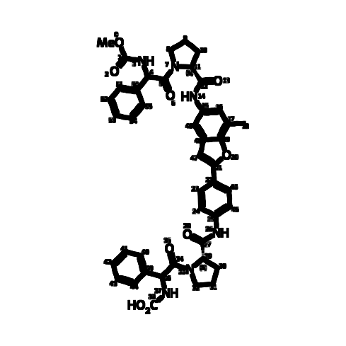 COC(=O)NC(C(=O)N1CCC[C@H]1C(=O)Nc1cc(C)c2oc(-c3ccc(NC(=O)[C@@H]4CCCN4C(=O)C(NC(=O)O)c4ccccc4)cc3)cc2c1)c1ccccc1